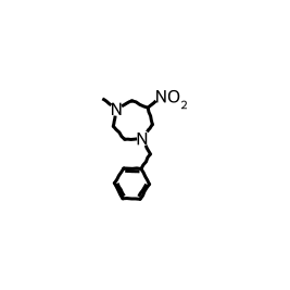 CN1CCN(Cc2ccccc2)CC([N+](=O)[O-])C1